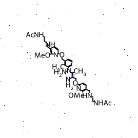 COc1nc(OC/C(N)=C(\C)N(N)c2cccc(COc3ccc(CNCCNC(C)=O)c(OC)n3)c2C)ccc1CNCCNC(C)=O